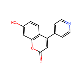 O=c1cc(-c2ccncc2)c2ccc(O)cc2o1